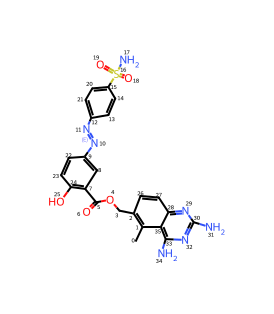 Cc1c(COC(=O)c2cc(/N=N/c3ccc(S(N)(=O)=O)cc3)ccc2O)ccc2nc(N)nc(N)c12